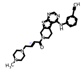 C#Cc1cccc(Nc2ncnc3sc4c(c23)CCN(C(=O)/C=C/CN2CCN(C)CC2)C4)c1